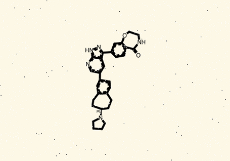 O=C1NCCOc2cc(-c3n[nH]c4ncc(-c5ccc6c(c5)CC[C@H](N5CCCC5)CC6)cc34)ccc21